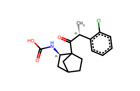 C[C@@H](C(=O)C12CCC(C[C@H]1NC(=O)O)C2)c1ccccc1Cl